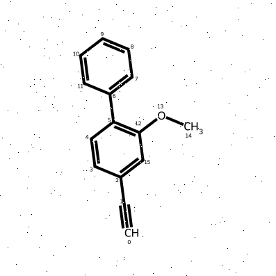 C#Cc1ccc(-c2ccccc2)c(OC)c1